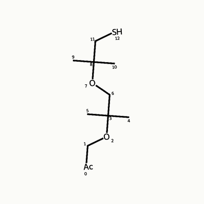 CC(=O)COC(C)(C)COC(C)(C)CS